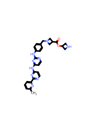 Cc1cccc(-c2nccc(Nc3ccnc(Nc4ccc(CN5CC(C(=O)OC6CNC6)C5)cc4)n3)n2)n1